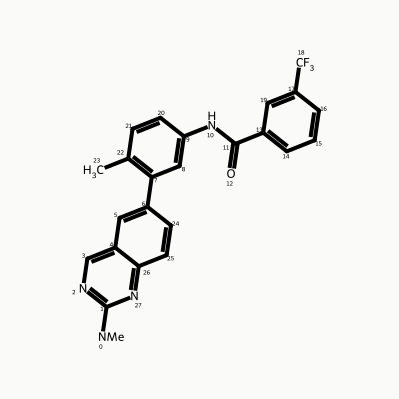 CNc1ncc2cc(-c3cc(NC(=O)c4cccc(C(F)(F)F)c4)ccc3C)ccc2n1